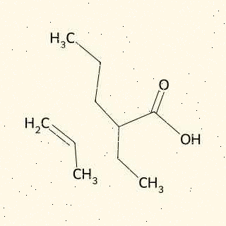 C=CC.CCCC(CC)C(=O)O